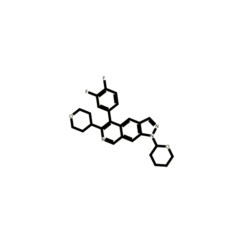 Fc1ccc(-c2c(C3CCOCC3)ncc3cc4c(cnn4C4CCCCO4)cc23)cc1F